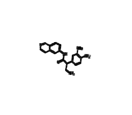 [CH2]c1ccc(C(CN)C(=O)Nc2ccc3cnccc3c2)cc1OC